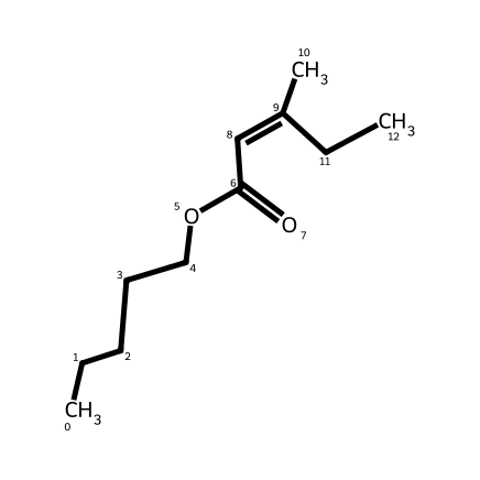 CCCCCOC(=O)C=C(C)CC